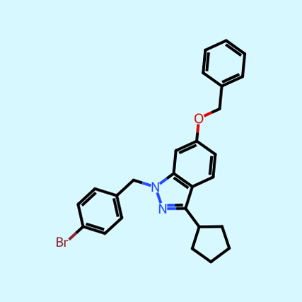 Brc1ccc(Cn2nc(C3CCCC3)c3ccc(OCc4ccccc4)cc32)cc1